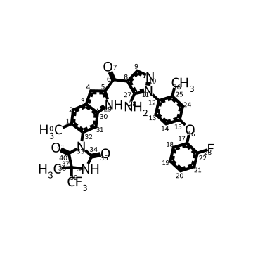 Cc1cc2cc(C(=O)c3cnn(-c4ccc(Oc5ccccc5F)cc4C)c3N)[nH]c2cc1N1C(=O)NC(C)(C(F)(F)F)C1=O